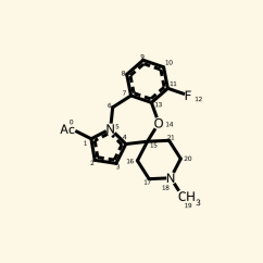 CC(=O)c1ccc2n1Cc1cccc(F)c1OC21CCN(C)CC1